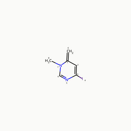 C=C1C=C(I)N=CN1C